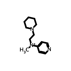 C[N+](CCN1CCCCC1)c1ccncc1